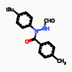 Cc1ccc(C(=O)N(NC=O)c2ccc(C(C)(C)C)cc2)cc1